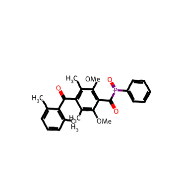 COc1c(C)c(C(=O)c2c(C)cccc2C)c(C)c(OC)c1C(=O)[P](=O)c1ccccc1